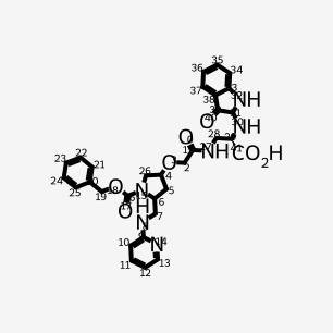 O=C(COC1CC(CNc2ccccn2)N(C(=O)OCc2ccccc2)C1)NC[C@H](NC1Nc2ccccc2C1=O)C(=O)O